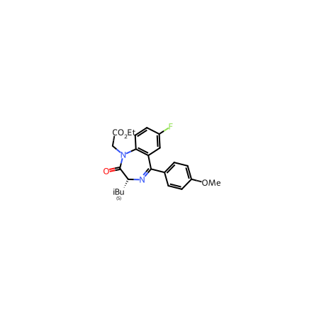 CCOC(=O)CN1C(=O)C([C@@H](C)CC)N=C(c2ccc(OC)cc2)c2cc(F)ccc21